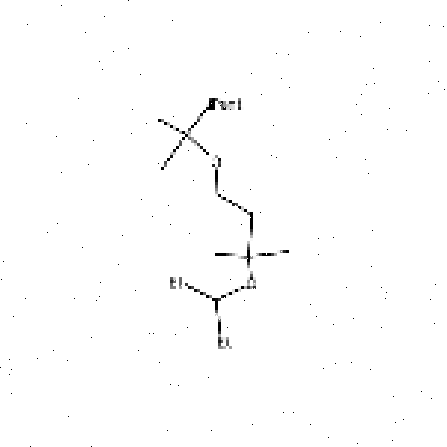 CCCC(C)C(C)(C)OCCC(C)(C)OC(CC)CC